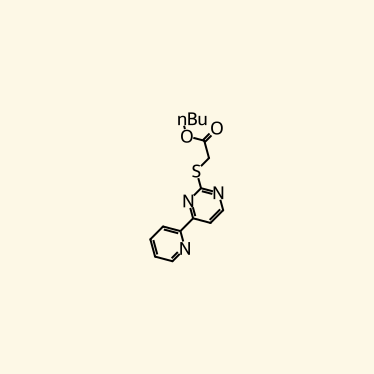 CCCCOC(=O)CSc1nccc(-c2ccccn2)n1